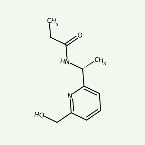 CCC(=O)N[C@H](C)c1cccc(CO)n1